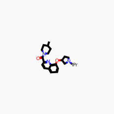 CC1CCN(C(=O)c2ccc3cccc(OC4CCN(C(C)C)C4)c3n2)CC1